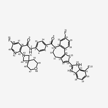 O=C(Nc1ccc(C(=O)N2CCc3cc(-c4nc5cccc(F)c5[nH]4)sc3-c3ccc(F)cc32)cc1)c1cc(F)cnc1N1CC2(CCOCC2)C1